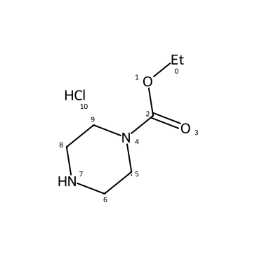 CCOC(=O)N1[CH]CNCC1.Cl